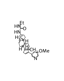 CCNC(=O)NC1CC[C@@]2(C)C(=CC[C@@H]3[C@@H]2CC[C@]2(C)C(c4cncc(OC)c4)=CC[C@@H]32)C1